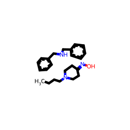 CCCCN1CCC(=NO)CC1.c1ccc(CNCc2ccccc2)cc1